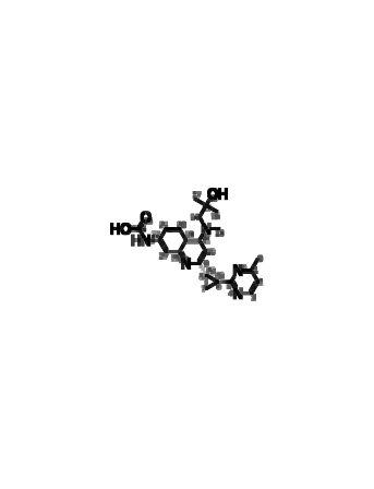 Cc1ccnc([C@H]2C[C@@H]2c2cc(N(C)CC(C)(C)O)c3ccc(NC(=O)O)cc3n2)n1